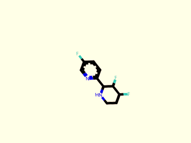 Fc1ccc(C2NCCC(F)C2F)nc1